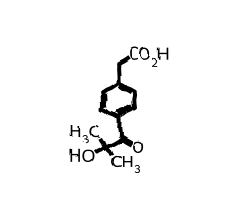 CC(C)(O)C(=O)c1ccc(CC(=O)O)cc1